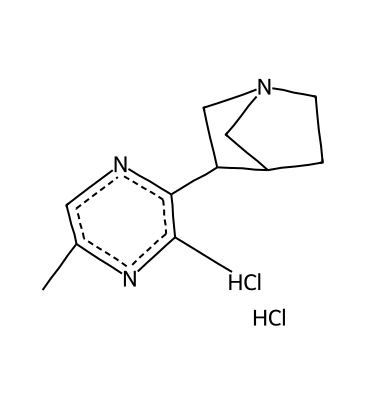 Cc1cnc(C2CN3CCC2C3)c(C)n1.Cl.Cl